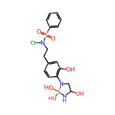 O=S(=O)(c1ccccc1)N(Cl)CCc1ccc(N2CC(O)NS2(O)O)c(O)c1